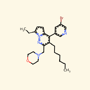 CCCCCCc1c(CN2CCOCC2)nn2c(CC)ccc2c1-c1cncc(Br)c1